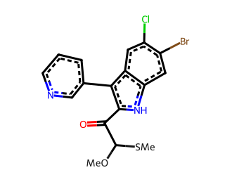 COC(SC)C(=O)c1[nH]c2cc(Br)c(Cl)cc2c1-c1cccnc1